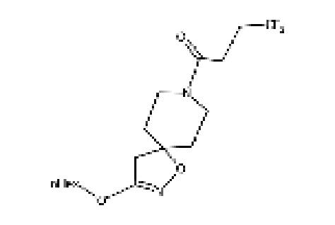 CCCCCCOC1=NOC2(CCN(C(=O)CCC(F)(F)F)CC2)C1